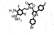 NNc1cc(F)c(CCN2C(=O)COC2c2cn(-c3ccc(Br)cc3)nc2-c2ccc(F)cc2)c(F)c1N